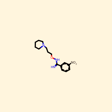 N=C(NOCCCN1CCCCC1)c1cccc([N+](=O)[O-])c1